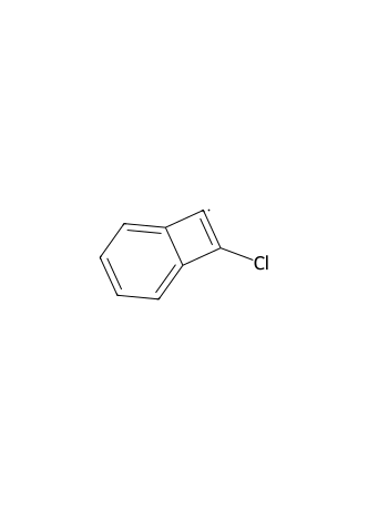 ClC1=[C]c2ccccc21